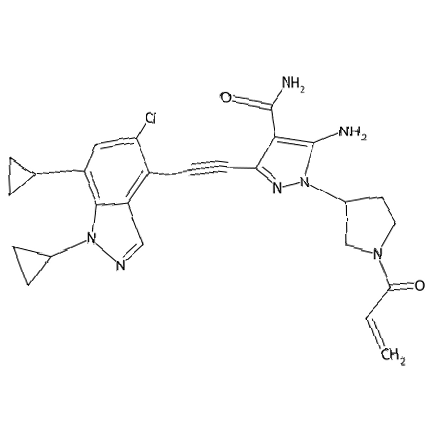 C=CC(=O)N1CCC(n2nc(C#Cc3c(Cl)cc(C4CC4)c4c3cnn4C3CC3)c(C(N)=O)c2N)C1